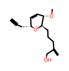 C#CC[C@@H]1C=C[C@H](OC)[C@@H](CCCC(=C)CO)O1